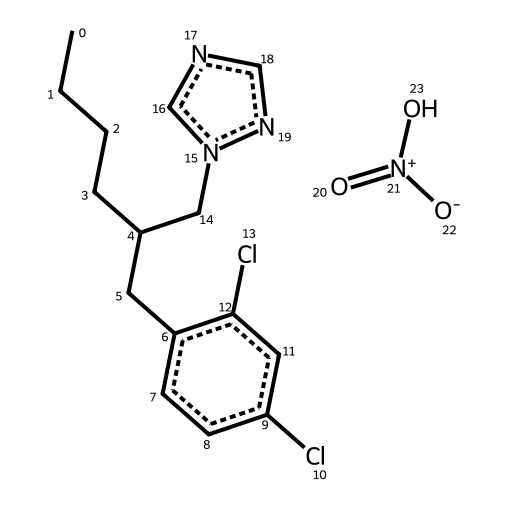 CCCCC(Cc1ccc(Cl)cc1Cl)Cn1cncn1.O=[N+]([O-])O